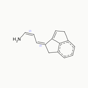 N/C=C\C=C1\Cc2cccc3c2C1=CC3